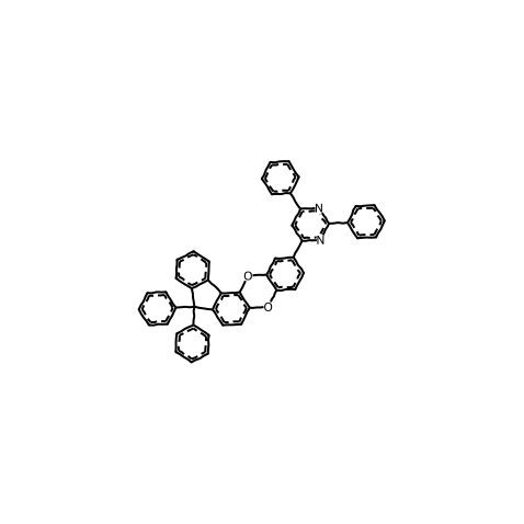 c1ccc(-c2cc(-c3ccc4c(c3)Oc3c(ccc5c3-c3ccccc3C5(c3ccccc3)c3ccccc3)O4)nc(-c3ccccc3)n2)cc1